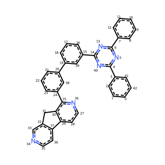 c1ccc(-c2nc(-c3ccccc3)nc(-c3cccc(-c4cccc(-c5nccc6c5Cc5cnccc5-6)c4)c3)n2)cc1